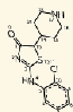 O=C1N=C(Nc2ccccc2Cl)SC1C1CCNCC1